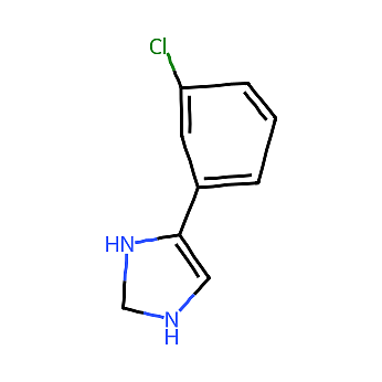 Clc1cccc(C2=CNCN2)c1